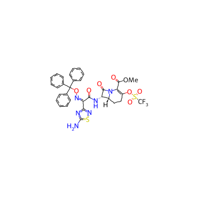 COC(=O)C1=C(OS(=O)(=O)C(F)(F)F)CC[C@@H]2[C@H](NC(=O)/C(=N\OC(c3ccccc3)(c3ccccc3)c3ccccc3)c3nsc(N)n3)C(=O)N12